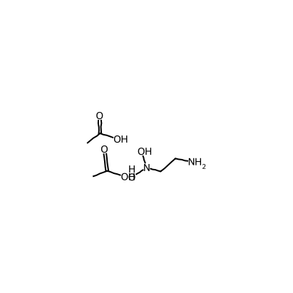 CC(=O)O.CC(=O)O.NCCN(O)O